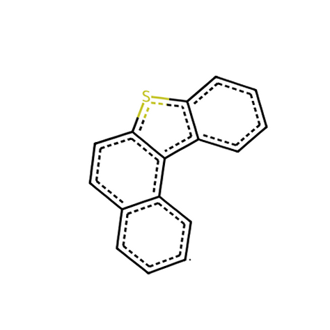 [c]1ccc2ccc3sc4ccccc4c3c2c1